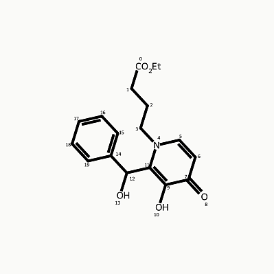 CCOC(=O)CCCn1ccc(=O)c(O)c1C(O)c1ccccc1